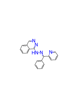 c1ccc(/C(=N\Nc2nncc3ccccc23)c2ccccn2)cc1